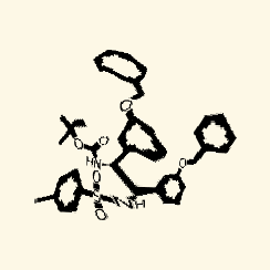 Cc1ccc(S(=O)(=O)N[C@H](c2cccc(OCc3ccccc3)c2)[C@H](NC(=O)OC(C)(C)C)c2cccc(OCc3ccccc3)c2)cc1